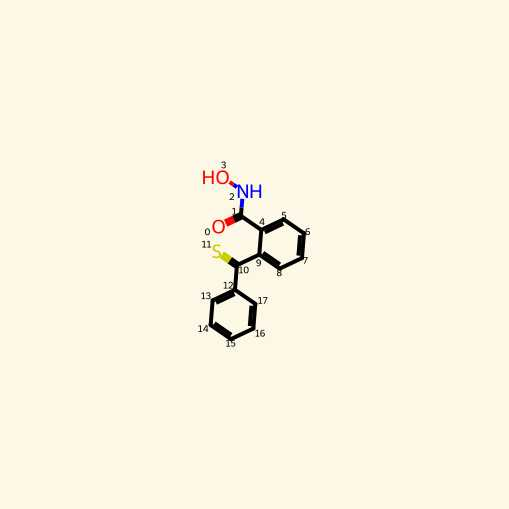 O=C(NO)c1ccccc1C(=S)c1ccccc1